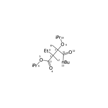 [CH2]CC(C)(C(=O)OC(C)C)C(C)(OC(C)C)C(=O)CCCC